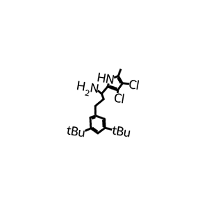 Cc1[nH]c(C(N)CCc2cc(C(C)(C)C)cc(C(C)(C)C)c2)c(Cl)c1Cl